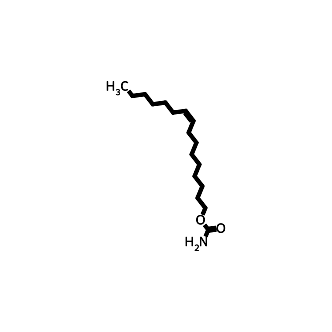 CCCCCC/C=C\CCCCCCCCOC(N)=O